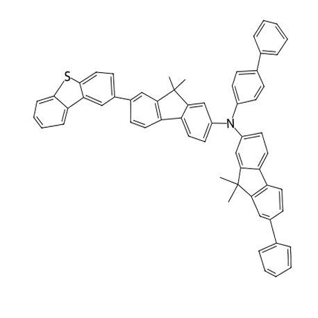 CC1(C)c2cc(-c3ccccc3)ccc2-c2ccc(N(c3ccc(-c4ccccc4)cc3)c3ccc4c(c3)C(C)(C)c3cc(-c5ccc6sc7ccccc7c6c5)ccc3-4)cc21